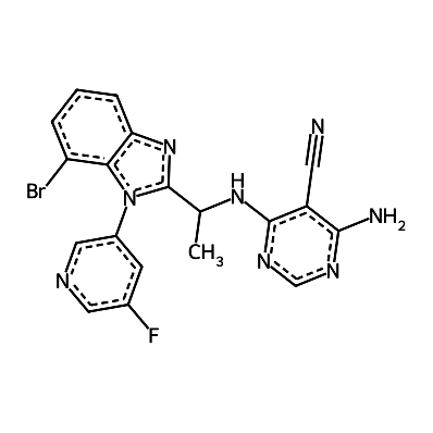 CC(Nc1ncnc(N)c1C#N)c1nc2cccc(Br)c2n1-c1cncc(F)c1